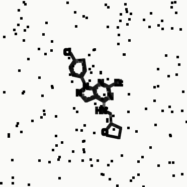 CCc1nc(NCC2CCCO2)c2cnn(-c3ccc(Cl)cc3)c2n1